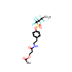 CCC(C)C(=O)OCCC(=O)NCCc1ccc(OS(=O)(=O)C(F)(F)C(F)(F)C(F)(F)S(=O)(=O)O)cc1